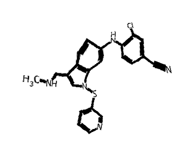 CNCc1cn(Sc2cccnc2)c2cc(Nc3ccc(C#N)cc3Cl)ccc12